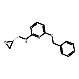 c1ccc(COc2cccc(NC[C@@H]3CO3)n2)cc1